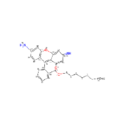 CCCCCCCCCCCCCCCCOC(=O)c1ccccc1-c1c2ccc(=N)cc-2oc2cc(N)ccc12